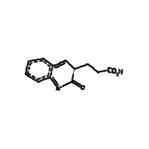 O=C(O)CCC1C=c2ccccc2=NC1=O